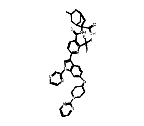 CC1CC2CC(C1)C(NC(=O)c1ccc(-c3cn(-c4cnccn4)c4cc(OC5CCN(c6ncccn6)CC5)ccc34)nc1C(F)(F)F)(C(=O)O)C2